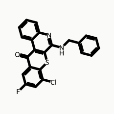 O=c1c2cc(F)cc(Cl)c2sc2c(NCc3ccccc3)nc3ccccc3c12